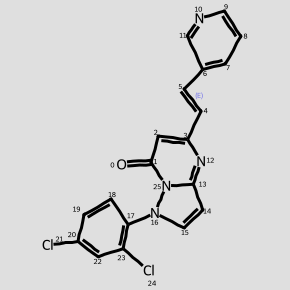 O=c1cc(/C=C/c2cccnc2)nc2ccn(-c3ccc(Cl)cc3Cl)n12